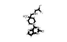 CC1(CNCC(F)F)CCN(c2nc(Cl)nc3ccoc23)CC1